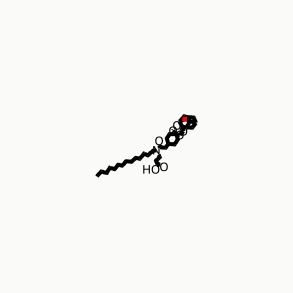 CCCCCCCCCCCCCCN(CCC(=O)O)C(=O)CC1CCC2(CC1)OOC1(OO2)C2CC3CC(C2)CC1C3